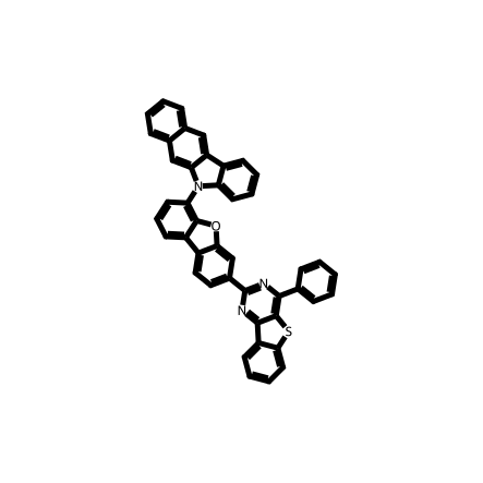 c1ccc(-c2nc(-c3ccc4c(c3)oc3c(-n5c6ccccc6c6cc7ccccc7cc65)cccc34)nc3c2sc2ccccc23)cc1